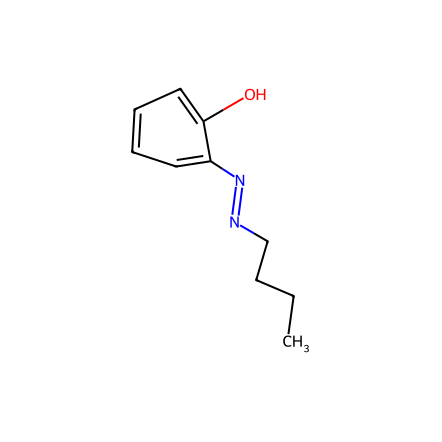 CCCCN=Nc1ccccc1O